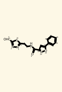 O=Cc1nnc(CCNC(=O)c2cc(-c3ccccc3)on2)s1